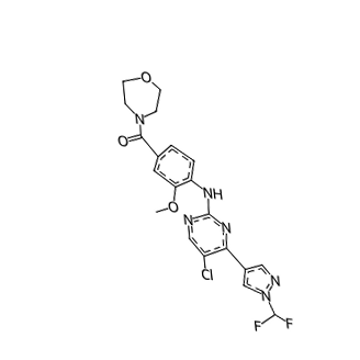 COc1cc(C(=O)N2CCOCC2)ccc1Nc1ncc(Cl)c(-c2cnn(C(F)F)c2)n1